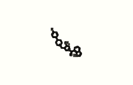 O=C(c1cccc2cc[nH]c12)N1CC(CN2CCC(c3ccc(F)cc3)CC2)C(C(F)(F)F)C1